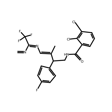 C=N/C(=N\C=C(/C)C(CNC(=O)c1cccc(Cl)c1Cl)c1ccc(F)cc1)C(F)(F)F